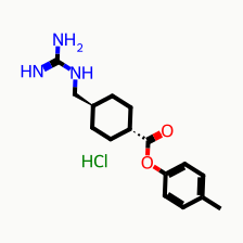 Cc1ccc(OC(=O)[C@H]2CC[C@H](CNC(=N)N)CC2)cc1.Cl